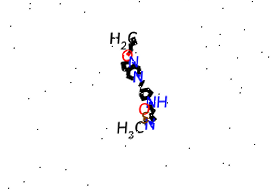 C=CCCOc1ccc2c(n1)CCN(CC[C@H]1CC[C@H](NC(=O)Cc3cnc(C)s3)CC1)CC2